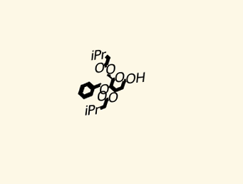 CC(C)CC(=O)OC[C@H]1OC(O)C[C@H](OC(=O)CC(C)C)[C@H]1OCc1ccccc1